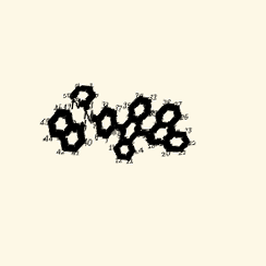 c1ccc(N(c2ccc(-c3c4ccccc4c(-c4cc5ccccc5c5ccccc45)c4ccccc34)cc2)c2cccc3ccccc23)nc1